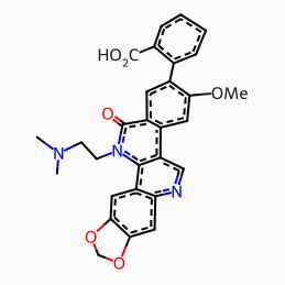 COc1cc2c(cc1-c1ccccc1C(=O)O)c(=O)n(CCN(C)C)c1c3cc4c(cc3ncc21)OCO4